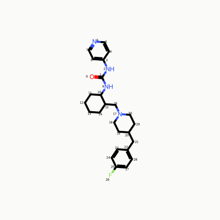 O=C(Nc1ccncc1)NC1CCCCC1CN1CCC(Cc2ccc(F)cc2)CC1